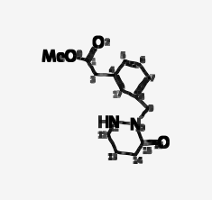 COC(=O)Cc1cccc(CN2NCCCC2=O)c1